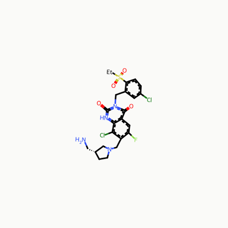 CCS(=O)(=O)c1ccc(Cl)cc1Cn1c(=O)[nH]c2c(Cl)c(CN3CC[C@H](CN)C3)c(F)cc2c1=O